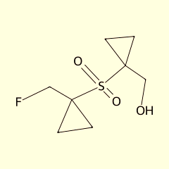 O=S(=O)(C1(CO)CC1)C1(CF)CC1